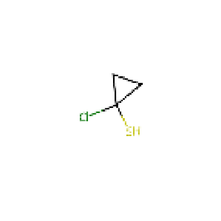 SC1(Cl)CC1